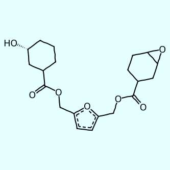 O=C(OCc1ccc(COC(=O)C2CCC[C@@H](O)C2)o1)C1CCC2OC2C1